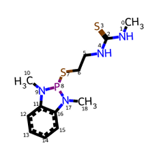 CNC(=S)NCCSP1N(C)c2ccccc2N1C